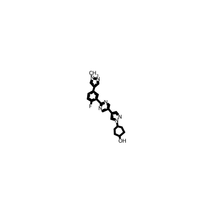 Cn1cc(-c2ccc(F)c(-c3ncc(-c4cnn(C5CCC(O)CC5)c4)cn3)c2)cn1